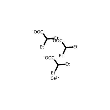 CCC(CC)C(=O)[O-].CCC(CC)C(=O)[O-].CCC(CC)C(=O)[O-].[Ce+3]